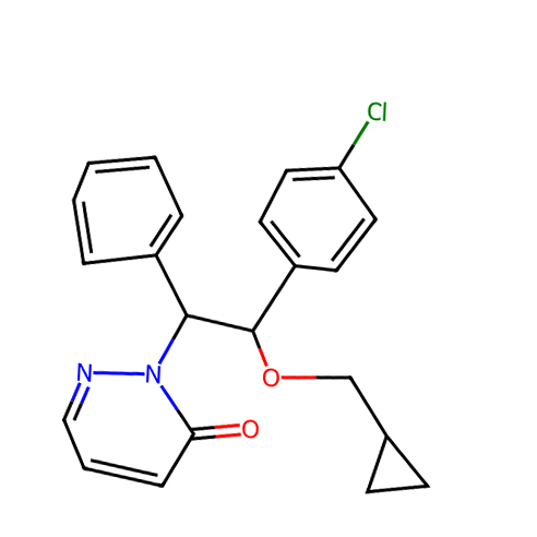 O=c1cccnn1C(c1ccccc1)C(OCC1CC1)c1ccc(Cl)cc1